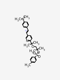 Cc1ccc(S(=O)(=O)OC(C)(C)COC(C)(C)c2ccc(/C=C/c3ccc(N(C)C)cc3)cn2)cc1